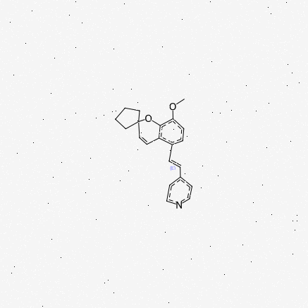 COc1ccc(/C=C/c2ccncc2)c2c1OC1(C=C2)CCCC1